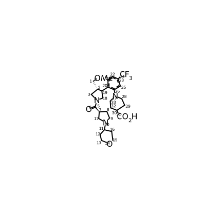 COC[C@H]1CN(C(=O)[C@H]2CCN(C3CCOCC3)C2)CC1c1ccc(C(F)(F)F)cc1N1CCC(C(=O)O)CC1